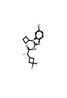 C[C@H](C(=O)Nc1nc2ccc(Cl)cc2n1C1CCC1)C1CC(F)(F)C1